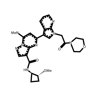 CNc1cc(-c2cn(CC(=O)N3CCOCC3)c3ncccc23)nc2c(C(=O)N[C@@H]3CC[C@H]3OC)cnn12